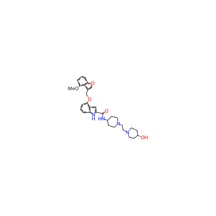 COc1cccc2occ(COc3cccc4[nH]c(C(=O)NC5CCN(CCN6CCC(O)CC6)CC5)cc34)c12